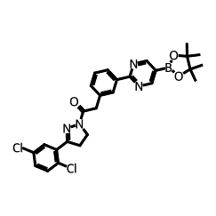 CC1(C)OB(c2cnc(-c3cccc(CC(=O)N4CCC(c5cc(Cl)ccc5Cl)=N4)c3)nc2)OC1(C)C